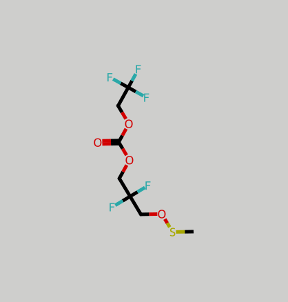 CSOCC(F)(F)COC(=O)OCC(F)(F)F